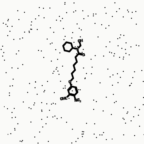 O=Cc1cc(OCCCCCCC(=O)N(CO)C2CCCCC2)ccc1[N+](=O)[O-]